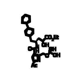 CCOC(=O)C(O)C[C@@H](Cc1ccc(-c2ccccc2)cc1)NC(=O)c1cc(C(C)=O)nn1COP(O)O